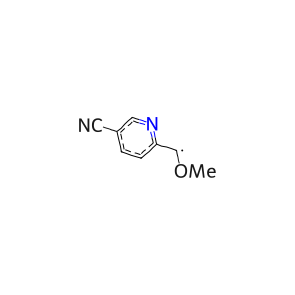 CO[CH]c1ccc(C#N)cn1